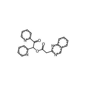 O=C(Cc1ncc2ccccc2n1)OC(C(=O)c1ccccn1)c1ccccn1